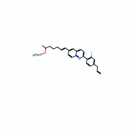 C=CCc1ccc(-c2ccc3cc(/C=C/CCCC(C)OCCCCC)ccc3n2)c(F)c1